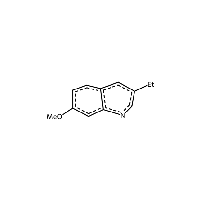 [CH2]Cc1cnc2cc(OC)ccc2c1